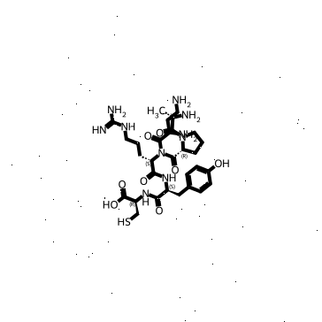 C[C@H](N)C(=O)N1CCC[C@@H]1C(=O)N(C(=O)C(N)CCN)[C@@H](CCCNC(=N)N)C(=O)N[C@@H](Cc1ccc(O)cc1)C(=O)N[C@@H](CS)C(=O)O